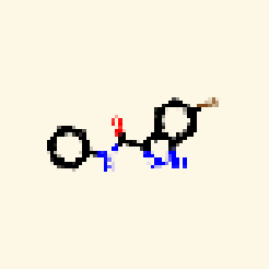 O=C(Nc1ccccc1)c1n[nH]c2cc(Br)ccc12